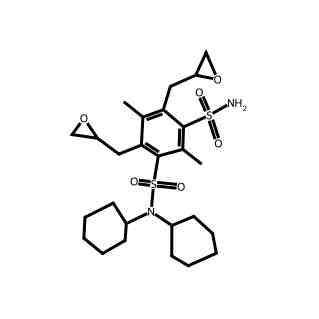 Cc1c(CC2CO2)c(S(N)(=O)=O)c(C)c(S(=O)(=O)N(C2CCCCC2)C2CCCCC2)c1CC1CO1